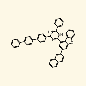 c1ccc(-c2ccc(-c3ccc(C4N=C(c5cc(-c6ccc7ccccc7c6)cc6oc7ccccc7c56)NC(c5ccccc5)N4)cc3)cc2)cc1